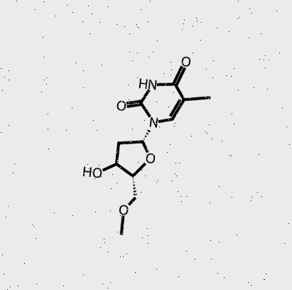 COC[C@H]1O[C@@H](n2cc(C)c(=O)[nH]c2=O)CC1O